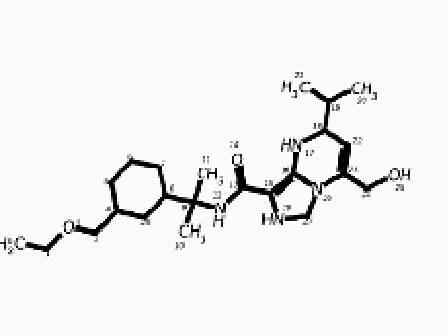 CCOCC1CCCC(C(C)(C)NC(=O)C2=C3NC(C(C)C)C=C(CO)N3CN2)C1